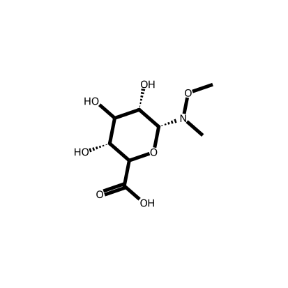 CON(C)[C@@H]1OC(C(=O)O)[C@H](O)C(O)[C@@H]1O